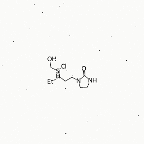 CCC(CCN1CCNC1=O)[SiH](Cl)CO